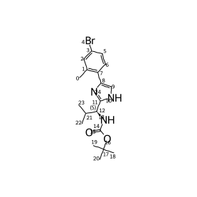 Cc1cc(Br)ccc1-c1c[nH]c([C@@H](NC(=O)OC(C)(C)C)C(C)C)n1